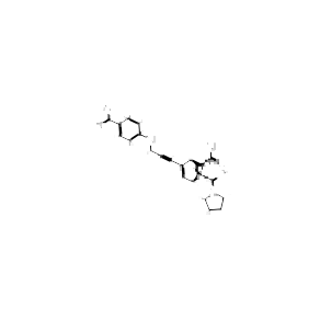 N=C(N)c1ccc(NCC#Cc2cc3nc(N)c2c(C(N)=O)c3C(=O)N2CCCC2)cc1